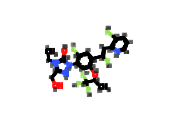 CCn1c(CO)nn(-c2cc(O[C@@H](C)C(F)(F)F)c(/C(F)=C/c3ncccc3F)cc2F)c1=O